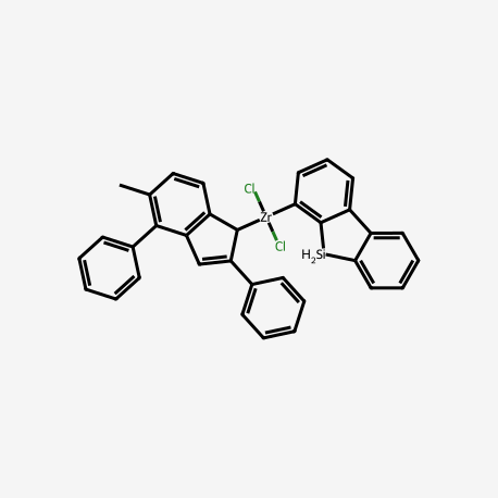 Cc1ccc2c(c1-c1ccccc1)C=C(c1ccccc1)[CH]2[Zr]([Cl])([Cl])[c]1cccc2c1[SiH2]c1ccccc1-2